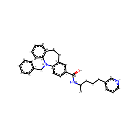 CC(CCCc1cccnc1)NC(=O)c1ccc2c(c1)CCc1ccccc1N2Cc1ccccc1